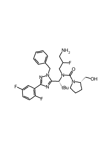 CC(C)(C)[C@H](c1nc(-c2cc(F)ccc2F)nn1Cc1ccccc1)N(CC(F)CN)C(=O)N1CCC[C@H]1CO